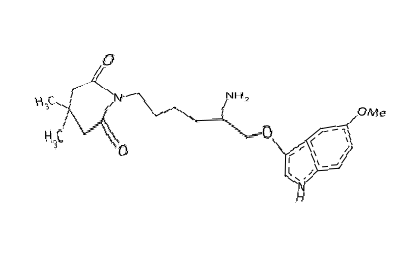 COc1ccc2[nH]cc(OCC(N)CCCCN3C(=O)CC(C)(C)CC3=O)c2c1